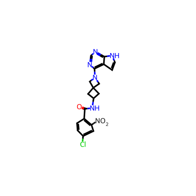 O=C(NC1CC2(C1)CN(c1ncnc3[nH]ccc13)C2)c1ccc(Cl)cc1[N+](=O)[O-]